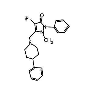 CC(C)c1c(CN2CCC(c3ccccc3)CC2)n(C)n(-c2ccccc2)c1=O